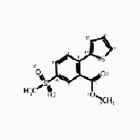 COC(=O)c1cc(S(C)(=O)=O)ccc1-c1cccs1